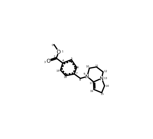 COC(=O)c1ccc(CN2CCCN3CCC=C32)cc1